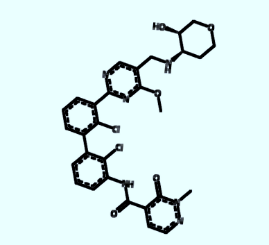 COc1nc(-c2cccc(-c3cccc(NC(=O)c4ccnn(C)c4=O)c3Cl)c2Cl)ncc1CN[C@@H]1CCOC[C@@H]1O